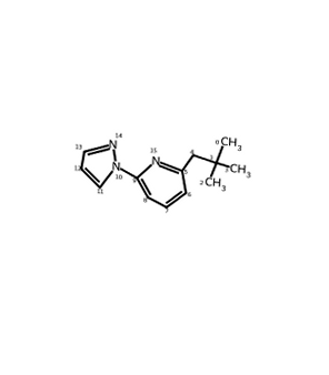 CC(C)(C)Cc1cccc(-n2cccn2)n1